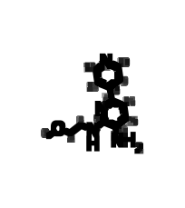 COCCNc1nc(-c2ccncc2)ccc1N